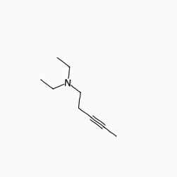 CC#CCCN(CC)CC